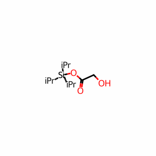 CC(C)[Si](OC(=O)CO)(C(C)C)C(C)C